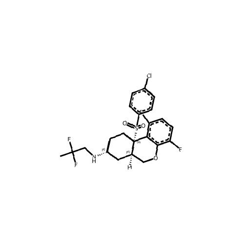 CC(F)(F)CN[C@@H]1CC[C@@]2(S(=O)(=O)c3ccc(Cl)cc3)c3c(F)ccc(F)c3OC[C@H]2C1